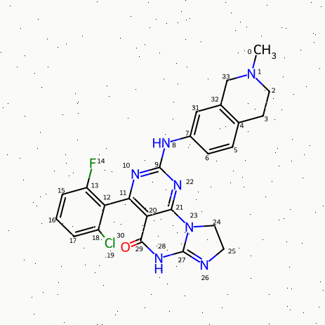 CN1CCc2ccc(Nc3nc(-c4c(F)cccc4Cl)c4c(n3)N3CCN=C3NC4=O)cc2C1